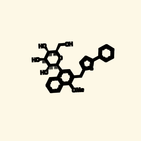 COc1c(Cc2ccc(-c3ccccc3)s2)cc([C@@H]2O[C@H](CO)[C@@H](O)[C@H](O)[C@H]2O)c2ccccc12